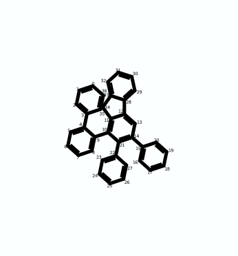 c1ccc(-c2ccccc2-c2c3c(cc(-c4ccccc4)c2-c2ccccc2)-c2ccccc2C3)cc1